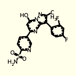 Cc1nn2c(O)cc(-c3ccc(S(N)(=O)=O)nc3)nc2c1-c1ccc(F)cc1F